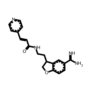 N=C(N)c1ccc2c(c1)C(CCNC(=O)/C=C/c1ccncc1)CO2